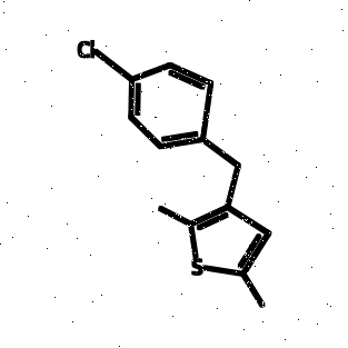 Cc1cc(Cc2ccc(Cl)cc2)c(C)s1